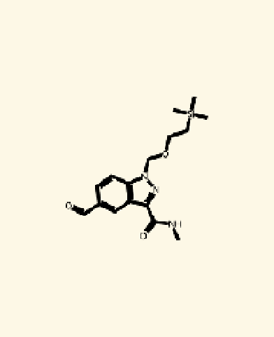 CNC(=O)c1nn(COCC[Si](C)(C)C)c2ccc(C=O)cc12